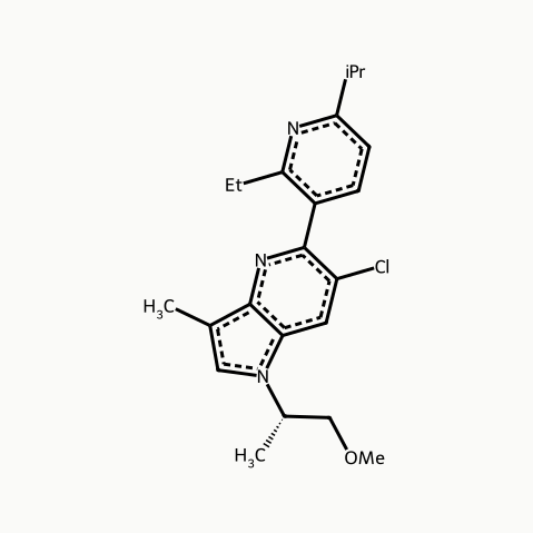 CCc1nc(C(C)C)ccc1-c1nc2c(C)cn([C@@H](C)COC)c2cc1Cl